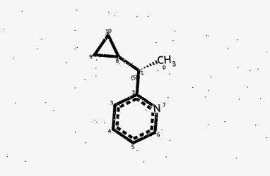 C[C@H](c1ccccn1)C1CC1